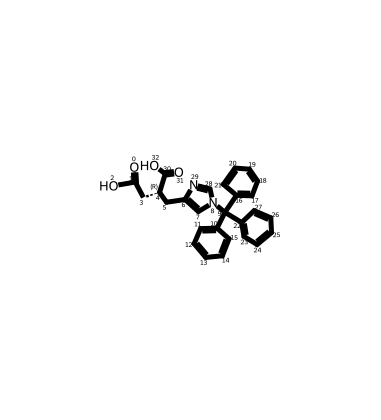 O=C(O)C[C@@H](Cc1cn(C(c2ccccc2)(c2ccccc2)c2ccccc2)cn1)C(=O)O